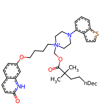 CCCCCCCCCCCCC(C)(C)C(=O)OC[N+]1(CCCCOc2ccc3ccc(=O)[nH]c3c2)CCN(c2cccc3sccc23)CC1